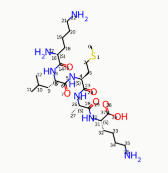 CSCC[C@H](NC(=O)[C@H](CC(C)C)NC(=O)[C@@H](N)CCCCN)C(=O)N[C@@H](C)C(=O)N[C@@H](CCCCN)C(=O)O